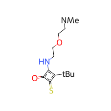 CNCCOCCNc1c(C(C)(C)C)c(=S)c1=O